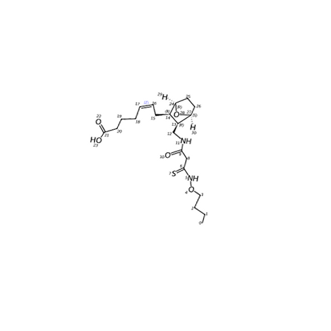 CCCCONC(=S)CC(=O)NC[C@H]1[C@@H](C/C=C\CCCC(=O)O)[C@H]2CC[C@@H]1O2